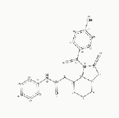 O=C(CC1CCCC2CC(=O)N(C(=O)c3ccc(O)cc3)C12)Nc1ccncc1